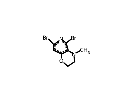 CN1CCOc2cc(Br)nc(Br)c21